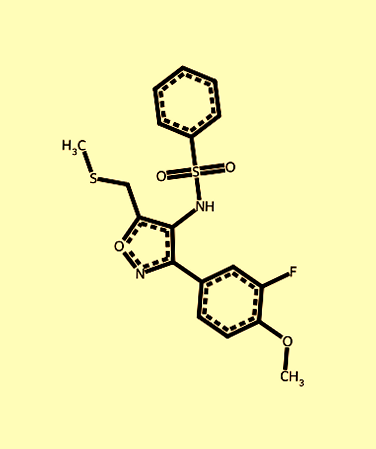 COc1ccc(-c2noc(CSC)c2NS(=O)(=O)c2ccccc2)cc1F